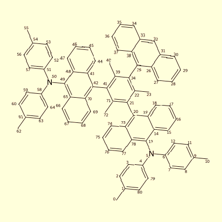 Cc1ccc(N(c2ccc(C)cc2)c2c3ccccc3c(-c3c(C)c(-c4c5ccccc5cc5ccccc45)c(C)c(-c4c5ccccc5c(N(c5ccc(C)cc5)c5ccc(C)cc5)c5ccccc45)c3C)c3ccccc23)cc1